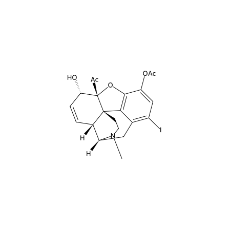 CC(=O)Oc1cc(I)c2c3c1O[C@@]1(C(C)=O)[C@@H](O)C=C[C@H]4[C@@H](C2)N(C)CC[C@@]341